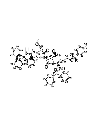 CO/N=C(/C(=O)NC1C(=O)N2C(C(=O)OC(c3ccccc3)c3ccccc3)=C(/C=C/OS(=O)(=O)c3ccc(C)cc3)C[S+]([O-])C12)c1csc(NC(c2ccccc2)(c2ccccc2)c2ccccc2)n1